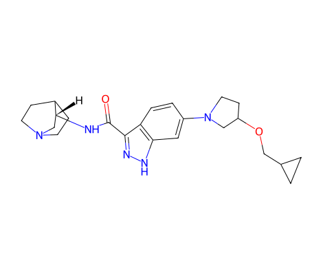 O=C(N[C@@H]1CN2CCC1CC2)c1n[nH]c2cc(N3CCC(OCC4CC4)C3)ccc12